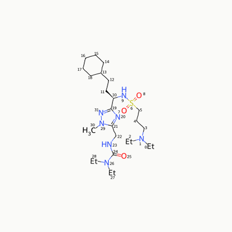 CCN(CC)CCCS(=O)(=O)N[C@H](CCC1CCCCC1)c1nc(CNC(=O)N(CC)CC)n(C)n1